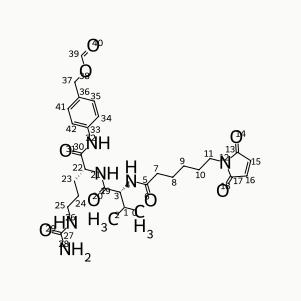 CC(C)[C@@H](NC(=O)CCCCCN1C(=O)C=CC1=O)C(=O)N[C@H](CCCNC(N)=O)C(=O)Nc1ccc(COC=O)cc1